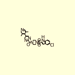 Cc1cncc(C)c1-c1cnc(C(=O)N2CCN(S(=O)(=O)c3cc4cc(Cl)ccc4[nH]3)CC2)nc1